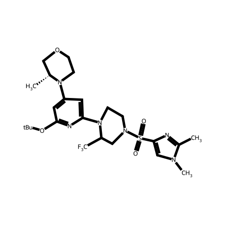 Cc1nc(S(=O)(=O)N2CCN(c3cc(N4CCOC[C@H]4C)cc(OC(C)(C)C)n3)C(C(F)(F)F)C2)cn1C